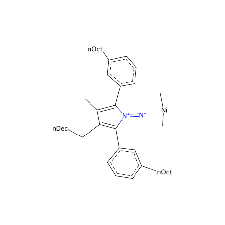 CCCCCCCCCCCC1=C(c2cccc(CCCCCCCC)c2)[N+](=[N-])C(c2cccc(CCCCCCCC)c2)=C1C.[CH3][Ni][CH3]